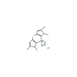 CC1=CC(C)=[C]([Ti+2]2([C]3=C(C)C=C(C)C3C)[CH2][CH2]2)C1C.[Cl-].[Cl-]